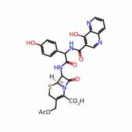 CC(=O)OCC1=C(C(=O)O)N2C(=O)C(NC(=O)C(NC(=O)c3cnc4cccnc4c3O)c3ccc(O)cc3)[C@@H]2SC1